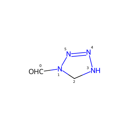 O=CN1CNN=N1